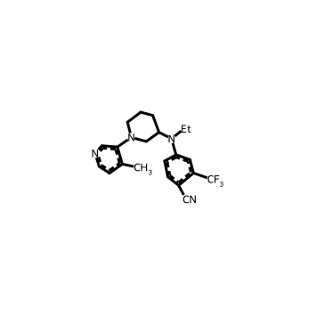 CCN(c1ccc(C#N)c(C(F)(F)F)c1)C1CCCN(c2cnccc2C)C1